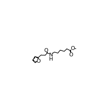 COC(=O)CCCCCNC(=O)CCc1ccco1